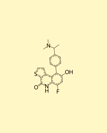 CC(c1ccc(-c2c(O)cc(F)c3[nH]c(=O)c4sccc4c23)cc1)N(C)C